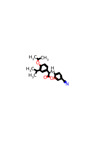 CC(C)Oc1ccc(C([AsH]c2ccc(C#N)cc2)C(=O)O)cc1C(C)C